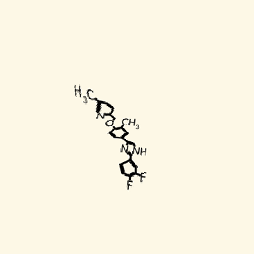 Cc1ccc(COc2ccc(-c3c[nH]c(-c4ccc(F)c(F)c4)n3)cc2C)nc1